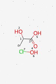 CC(O)C(=O)O.OCl